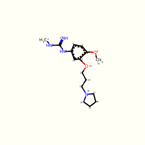 CNC(=N)Nc1ccc(OC)c(OCCCN2CCCC2)c1